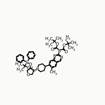 Cc1cc2cnc(N(C(=O)OC(C)(C)C)C(=O)OC(C)(C)C)nc2cc1C1CCN([C@H]2COC[C@H]2O[Si](c2ccccc2)(c2ccccc2)C(C)(C)C)CC1